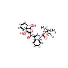 CC(C)(C)OC(=O)n1cc(C(=O)C=C(O)C2(C(=O)O)C=CC=CC2)c2ccccc21